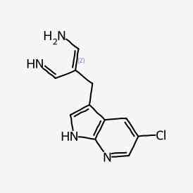 N=C/C(=C\N)Cc1c[nH]c2ncc(Cl)cc12